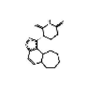 O=C1CC[C@H](c2noc3c2C2CCCCCC2C=C3)C(=O)N1